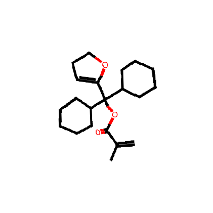 C=C(C)C(=O)OC(C1=CCCO1)(C1CCCCC1)C1CCCCC1